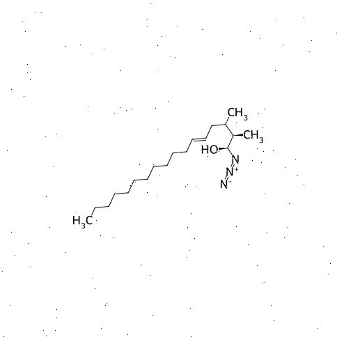 CCCCCCCCCCCC=CCC(C)[C@@H](C)[C@H](O)N=[N+]=[N-]